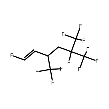 FC=CC(CC(F)(C(F)(F)F)C(F)(F)F)C(F)(F)F